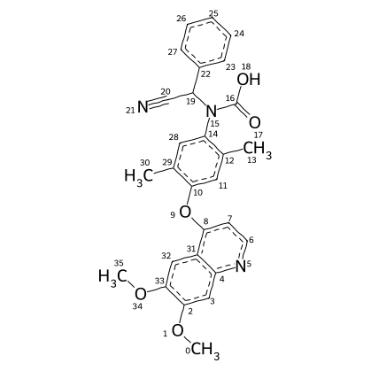 COc1cc2nccc(Oc3cc(C)c(N(C(=O)O)C(C#N)c4ccccc4)cc3C)c2cc1OC